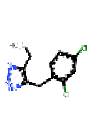 O=C(O)Cc1nn[nH]c1Cc1ccc(Cl)cc1Cl